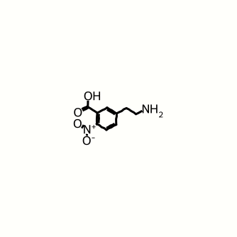 NCCc1ccc([N+](=O)[O-])c(C(=O)O)c1